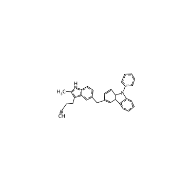 C#CCCc1c(C)[nH]c2ccc(CC3=CC4c5ccccc5N(c5ccccc5)C4C=C3)cc12